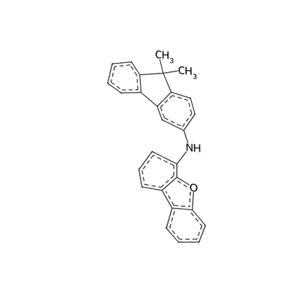 CC1(C)c2ccccc2-c2cc(Nc3cccc4c3oc3ccccc34)ccc21